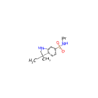 CC(C)NS(=O)(=O)c1ccc2c(c1)NCC2(C)C